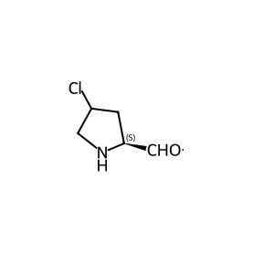 O=[C][C@@H]1CC(Cl)CN1